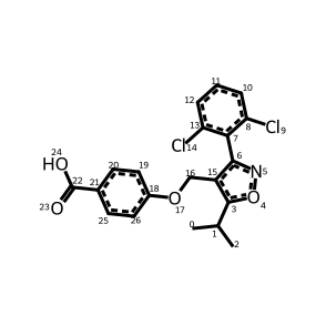 CC(C)c1onc(-c2c(Cl)cccc2Cl)c1COc1ccc(C(=O)O)cc1